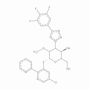 COC1C(n2cc(-c3cc(F)c(F)c(F)c3)nn2)[C@@H](O)C(CO)O[C@@H]1Sc1cc(Cl)cnc1-c1ccccn1